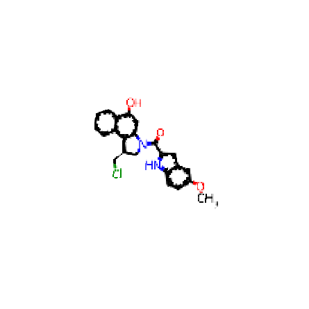 COc1ccc2[nH]c(C(=O)N3C[C@@H](CCl)c4c3cc(O)c3ccccc43)cc2c1